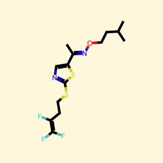 C/C(=N\OCCC(C)C)c1cnc(SCCC(F)=C(F)F)s1